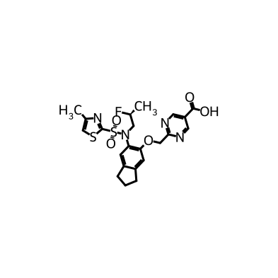 Cc1csc(S(=O)(=O)N(C[C@H](C)F)c2cc3c(cc2OCc2ncc(C(=O)O)cn2)CCC3)n1